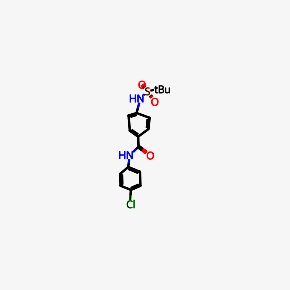 CC(C)(C)S(=O)(=O)Nc1ccc(C(=O)Nc2ccc(Cl)cc2)cc1